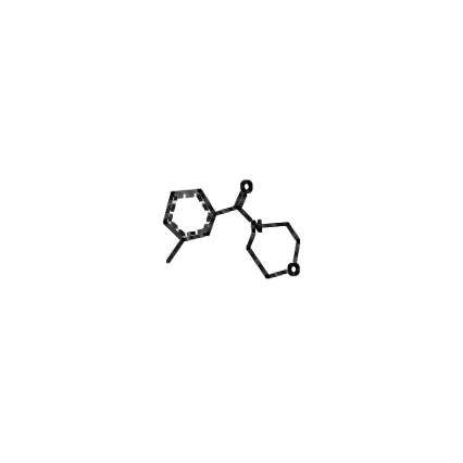 Cc1cccc(C(=O)N2CCOCC2)c1